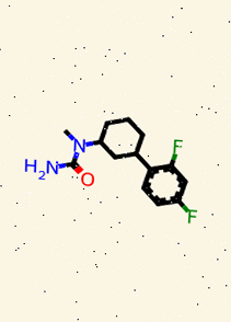 CN(C(N)=O)C1CCCC(c2ccc(F)cc2F)C1